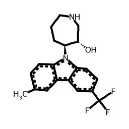 Cc1ccc2c(c1)c1cc(C(F)(F)F)ccc1n2[C@H]1CCCNC[C@@H]1O